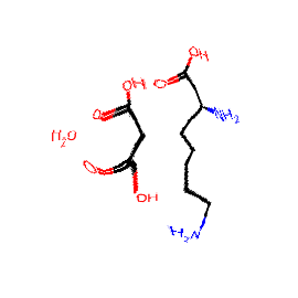 NCCCC[C@H](N)C(=O)O.O.O=C(O)CC(=O)O